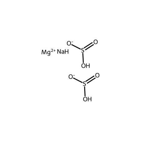 O=S([O-])O.O=S([O-])O.[Mg+2].[NaH]